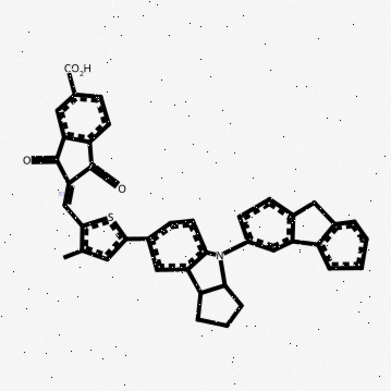 Cc1cc(-c2ccc3c(c2)C2CCCC2N3c2ccc3c(c2)-c2ccccc2C3)sc1/C=C1\C(=O)c2ccc(C(=O)O)cc2C1=O